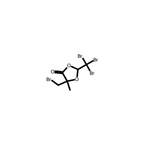 CC1(CBr)OC(C(Br)(Br)Br)OC1=O